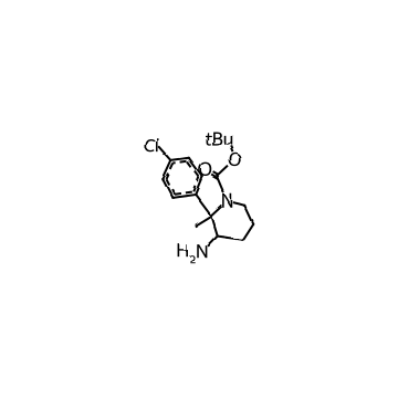 CC(C)(C)OC(=O)N1CCCC(N)C1(C)c1ccc(Cl)cc1